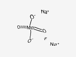 [F].[Na+].[Na+].[O]=[Mn](=[O])([O-])[O-]